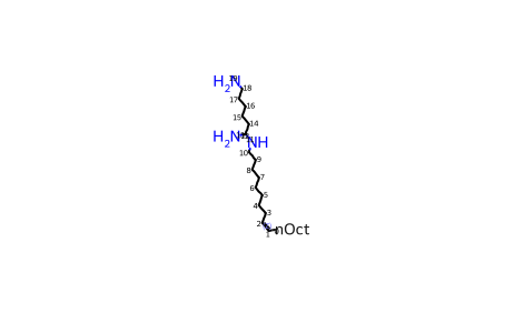 CCCCCCCC/C=C\CCCCCCCCNC(N)CCCCCN